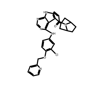 C=CC(=O)N1C2CCC1CC(c1c[nH]c3ncnc(Nc4ccc(OCc5ccccn5)c(Cl)c4)c13)C2